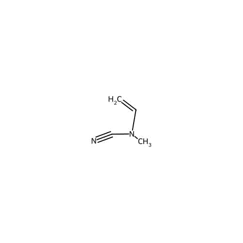 C=CN(C)C#N